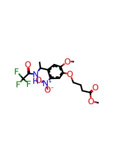 COC(=O)CCCOc1cc([N+](=O)[O-])c(C(C)NC(=O)C(F)(F)F)cc1OC